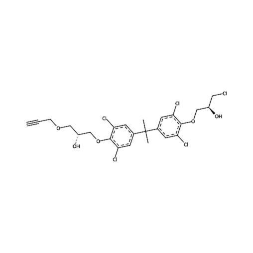 C#CCOC[C@@H](O)COc1c(Cl)cc(C(C)(C)c2cc(Cl)c(OC[C@H](O)CCl)c(Cl)c2)cc1Cl